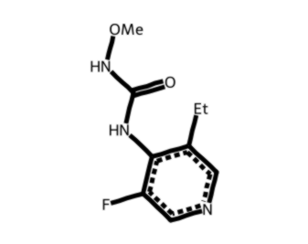 CCc1cncc(F)c1NC(=O)NOC